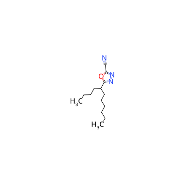 CCCCCCC(CCCC)c1nnc(C#N)o1